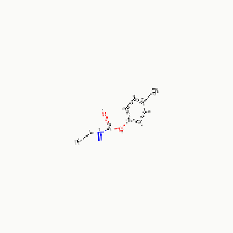 CC(C)CNC(=O)Oc1ccc(C#N)cc1